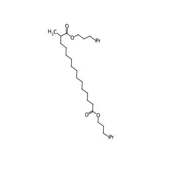 CC(C)CCCOC(=O)CCCCCCCCCCCCC(C)C(=O)OCCCC(C)C